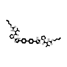 C=CCCOC(=O)NC(C(=O)N1CCC[C@H]1c1ncc(-c2ccc(-c3ccc(-c4cnc([C@@H]5CCCN5C(=O)[C@@H](NC(=O)OCCC=C)C(C)C)[nH]4)cc3)cc2)[nH]1)C(C)C